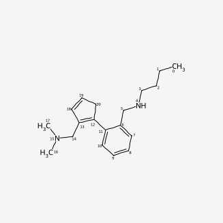 CCCCNCc1ccccc1C1=C(CN(C)C)C=CC1